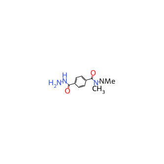 CNN(C)C(=O)c1ccc(C(=O)NN)cc1